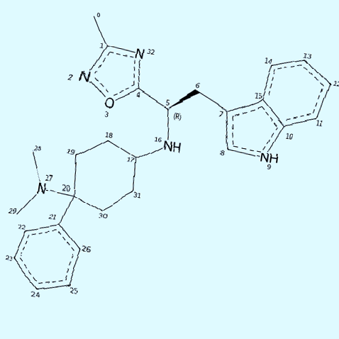 Cc1noc([C@@H](Cc2c[nH]c3ccccc23)NC2CCC(c3ccccc3)(N(C)C)CC2)n1